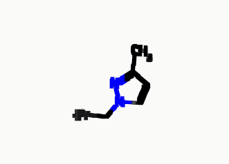 C[C](C)Cn1ccc(C)n1